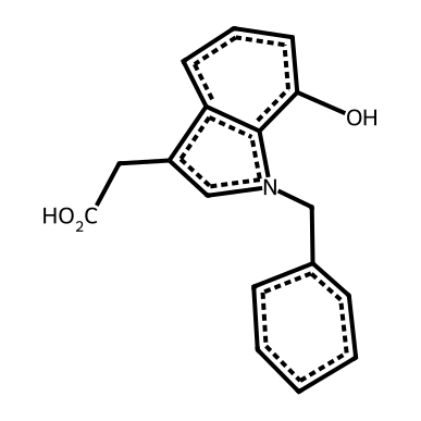 O=C(O)Cc1cn(Cc2ccccc2)c2c(O)cccc12